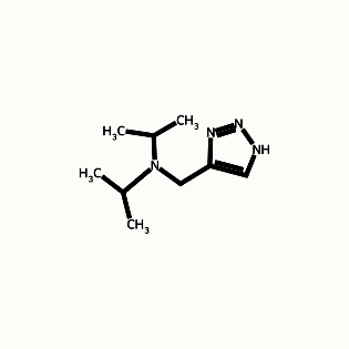 CC(C)N(Cc1c[nH]nn1)C(C)C